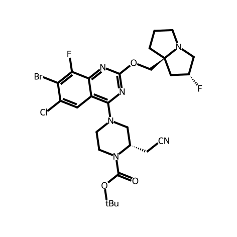 CC(C)(C)OC(=O)N1CCN(c2nc(OC[C@@]34CCCN3C[C@H](F)C4)nc3c(F)c(Br)c(Cl)cc23)C[C@@H]1CC#N